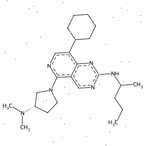 CCCC(C)Nc1ncc2c(N3CC[C@H](N(C)C)C3)ncc(C3CCCCC3)c2n1